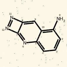 Nc1cccc2nc3c(cc12)N=N3